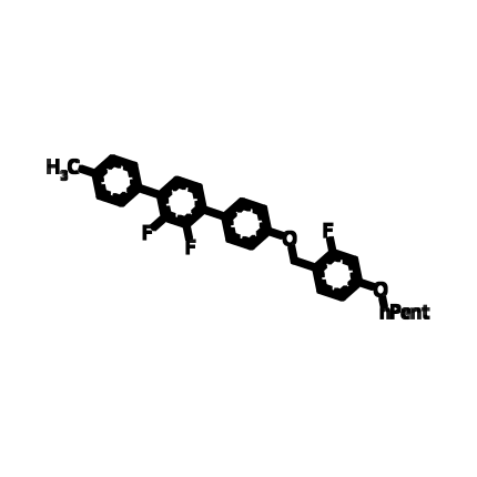 CCCCCOc1ccc(COc2ccc(-c3ccc(-c4ccc(C)cc4)c(F)c3F)cc2)c(F)c1